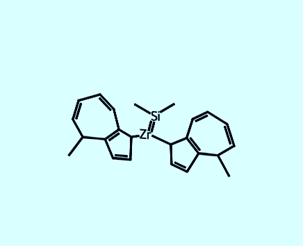 CC1C=CC=CC2=C1C=C[CH]2[Zr]([CH]1C=CC2=C1C=CC=CC2C)=[Si](C)C